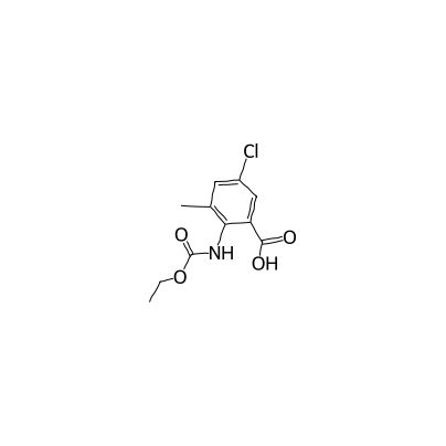 CCOC(=O)Nc1c(C)cc(Cl)cc1C(=O)O